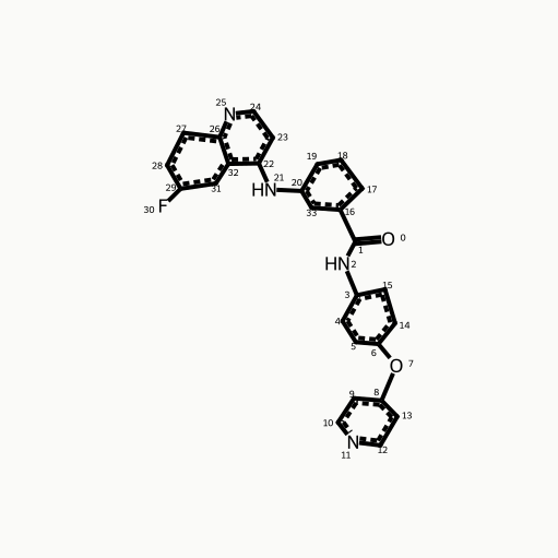 O=C(Nc1ccc(Oc2ccncc2)cc1)c1cccc(Nc2ccnc3ccc(F)cc23)c1